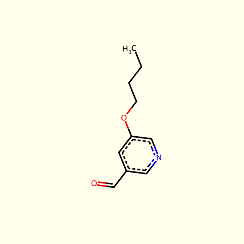 CCCCOc1cncc(C=O)c1